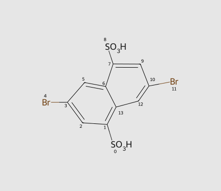 O=S(=O)(O)c1cc(Br)cc2c(S(=O)(=O)O)cc(Br)cc12